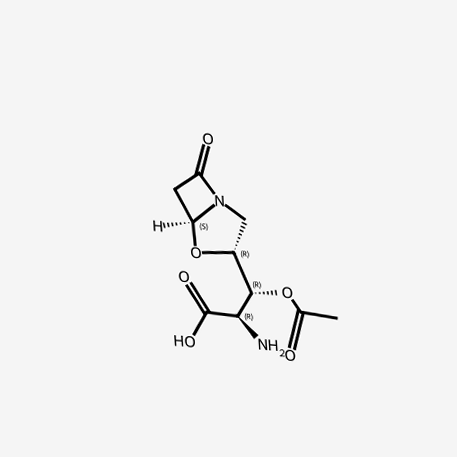 CC(=O)O[C@@H]([C@H]1CN2C(=O)C[C@@H]2O1)[C@@H](N)C(=O)O